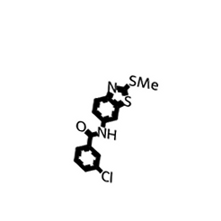 CSc1nc2ccc(NC(=O)c3cccc(Cl)c3)cc2s1